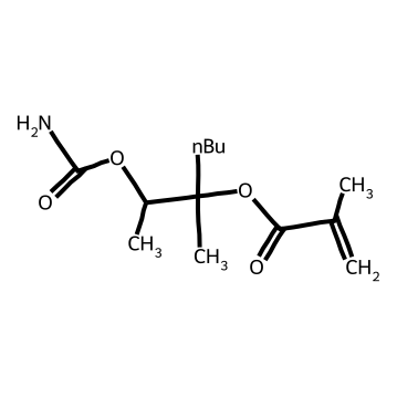 C=C(C)C(=O)OC(C)(CCCC)C(C)OC(N)=O